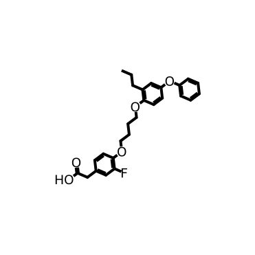 CCCc1cc(Oc2ccccc2)ccc1OCCCCOc1ccc(CC(=O)O)cc1F